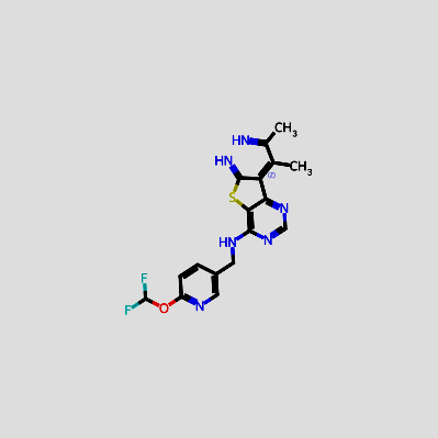 CC(=N)/C(C)=C1\C(=N)Sc2c(NCc3ccc(OC(F)F)nc3)ncnc21